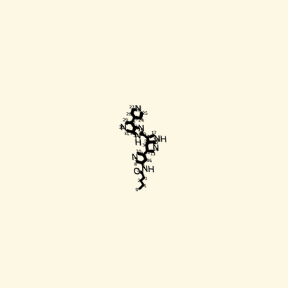 CCCCC(=O)Nc1cncc(-c2cnc3[nH]cc(-c4nc5c(-c6ccncc6)cncc5[nH]4)c3c2)c1